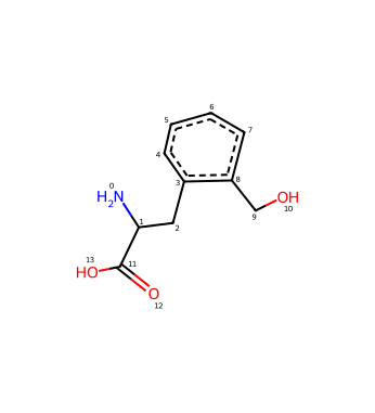 NC(Cc1ccccc1CO)C(=O)O